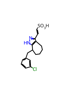 O=S(=O)(O)C=Cc1n[nH]c2c1CCCCC2Cc1cccc(Cl)c1